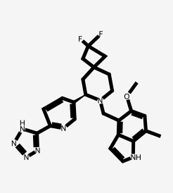 COc1cc(C)c2[nH]ccc2c1CN1CCC2(C[C@@H]1c1ccc(-c3nnn[nH]3)nc1)CC(F)(F)C2